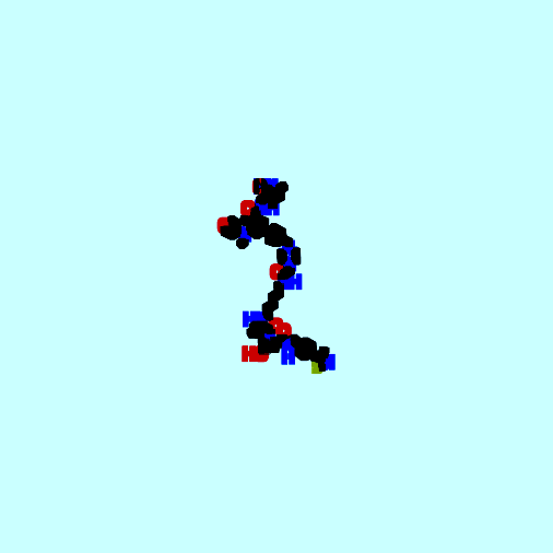 CCN(c1cc(-c2ccc(CN3CCN(CC(=O)NCCCCCCN[C@H](C(=O)N4C[C@H](O)C[C@H]4C(=O)NCc4ccc(-c5scnc5C)cc4)C(C)(C)C)CC3)cc2)cc(C(=O)NCc2c(C)cc(C)[nH]c2=O)c1C)C1CCOCC1